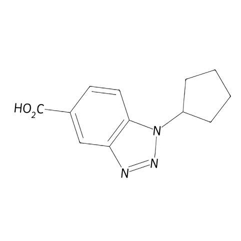 O=C(O)c1ccc2c(c1)nnn2C1CCCC1